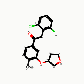 COc1ccc(C(=O)Cc2c(Cl)cccc2Cl)cc1OC1CCOC1